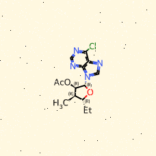 CC[C@H]1O[C@@H](n2cnc3c(Cl)ncnc32)[C@H](OC(C)=O)[C@@H]1C